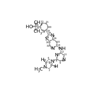 CN1C[C@@H]2C[C@H]1CN2c1cncc(Nc2cc3nc(-c4cccc(C(C)(C)O)c4)sc3cn2)n1